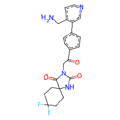 NCc1ccncc1-c1ccc(C(=O)CN2C(=O)NC3(CCC(F)(F)CC3)C2=O)cc1